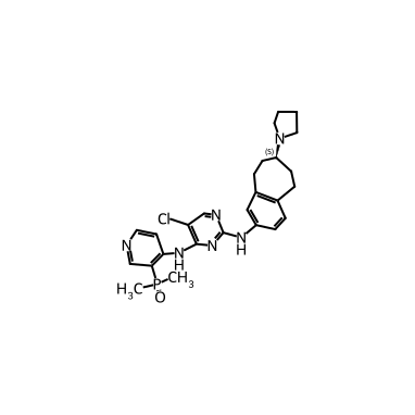 CP(C)(=O)c1cnccc1Nc1nc(Nc2ccc3c(c2)CC[C@@H](N2CCCC2)CC3)ncc1Cl